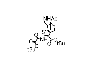 CC(=O)NCC1NCCc2c1sc(NC(=O)C(=O)OC(C)(C)C)c2C(=O)OC(C)(C)C